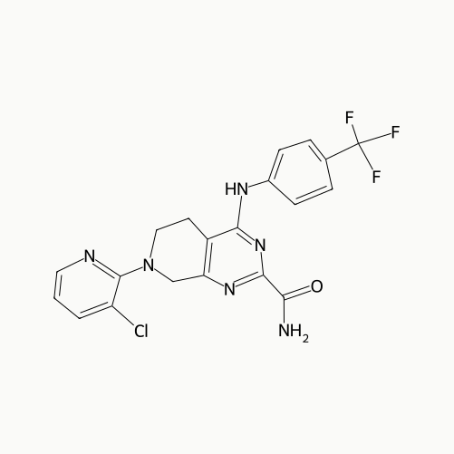 NC(=O)c1nc2c(c(Nc3ccc(C(F)(F)F)cc3)n1)CCN(c1ncccc1Cl)C2